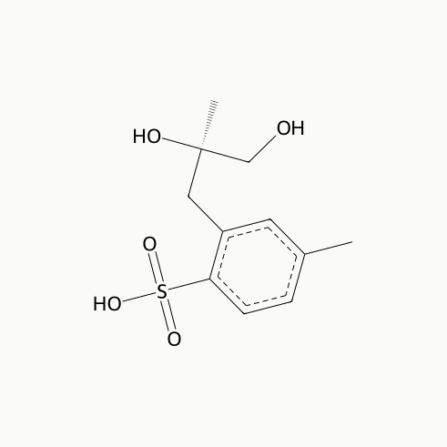 Cc1ccc(S(=O)(=O)O)c(C[C@@](C)(O)CO)c1